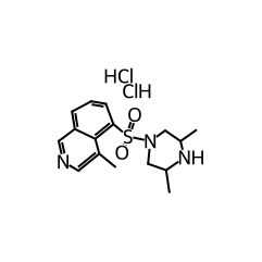 Cc1cncc2cccc(S(=O)(=O)N3CC(C)NC(C)C3)c12.Cl.Cl